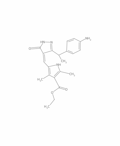 CCOC(=O)c1c(C)[nH]c(/C=C2/C(=O)NN=C2C(C)c2ccc(N)cc2)c1C